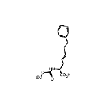 CC(C)(C)OC(=O)N[C@@H](C/C=C/CCc1ccccc1)C(=O)O